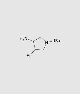 CCC1CN(C(C)(C)C)CC1N